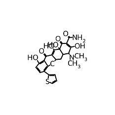 CN(C)C1C(O)=C(C(N)=O)C(=O)C2(O)C(O)=C3C(=O)c4c(O)ccc(-c5cccs5)c4CC3CC12